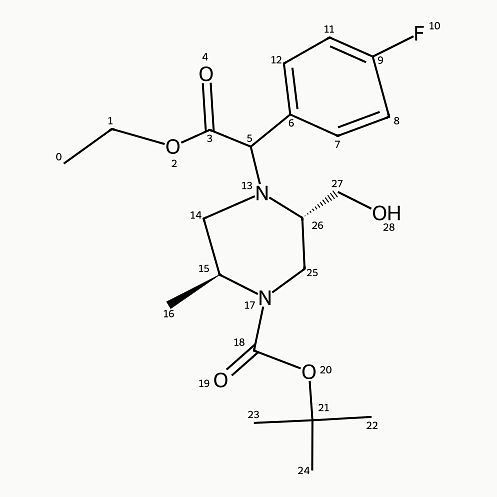 CCOC(=O)C(c1ccc(F)cc1)N1C[C@H](C)N(C(=O)OC(C)(C)C)C[C@H]1CO